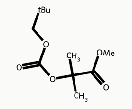 COC(=O)C(C)(C)OC(=O)OCC(C)(C)C